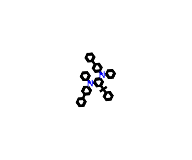 CC(C)(c1ccccc1)c1cc(N(c2ccccc2)c2ccc(-c3ccccc3)cc2)cc(N(c2ccccc2)c2ccc(-c3ccccc3)cc2)c1